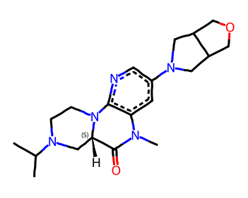 CC(C)N1CCN2c3ncc(N4CC5COCC5C4)cc3N(C)C(=O)[C@@H]2C1